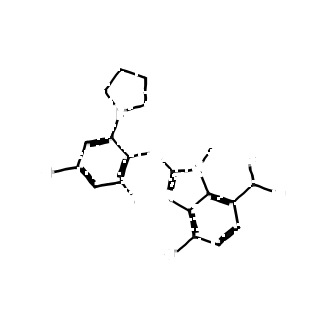 CCC(CC)c1ccc(Cl)c2nc(Oc3c(Cl)cc(Cl)cc3N3CCCC3)n(C)c12